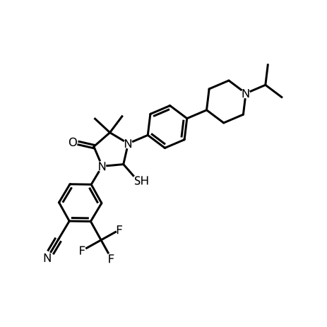 CC(C)N1CCC(c2ccc(N3C(S)N(c4ccc(C#N)c(C(F)(F)F)c4)C(=O)C3(C)C)cc2)CC1